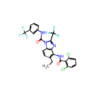 CCc1ccc2c(nc(C(F)(F)F)n2C(=O)Nc2cccc(C(F)(F)F)c2)c1NC(=O)c1c(Cl)cccc1Cl